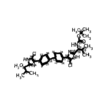 CC(C)[C@H](C)c1nc(-c2ccc(-c3ccc(-c4nc([C@@H](NC(=O)OC(C)(C)C)C(C)C)[nH]c4Cl)cc3)cc2)c(Cl)[nH]1